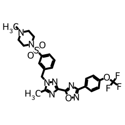 Cc1nc(-c2nc(-c3ccc(OC(F)(F)F)cc3)no2)nn1Cc1cccc(S(=O)(=O)N2CCN(C)CC2)c1